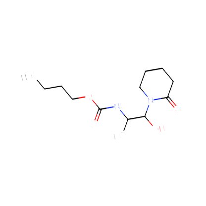 CCCCOC(=O)NC(C)C(O)N1CCCCC1=O